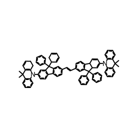 CC1(C)C2=C(CCC=C2)N(c2ccc3c(c2)C(c2ccccc2)(C2C=CC=CC2)c2cc(/C=C/c4ccc5c(c4)C(c4ccccc4)(c4ccccc4)C4C=C(N6c7ccccc7C(C)(C)c7ccccc76)C=CC54)ccc2-3)c2ccccc21